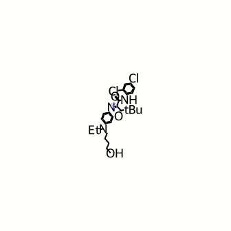 CCN(CCCCO)c1ccc(/N=C(/C(=O)Nc2ccc(Cl)cc2Cl)C(=O)C(C)(C)C)cc1